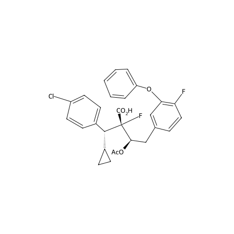 CC(=O)O[C@H](Cc1ccc(F)c(Oc2ccccc2)c1)[C@](F)(C(=O)O)[C@@H](c1ccc(Cl)cc1)C1CC1